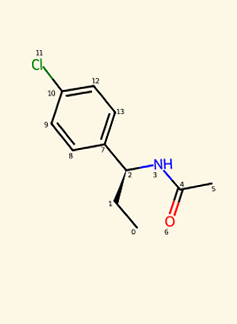 CC[C@H](NC(C)=O)c1ccc(Cl)cc1